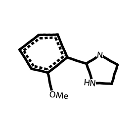 COc1ccccc1C1[N]CCN1